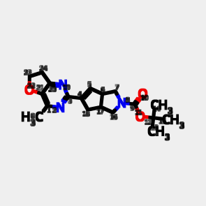 Cc1nc(C2=CC3CN(C(=O)OC(C)(C)C)CC3C2)nc2c1OCC2